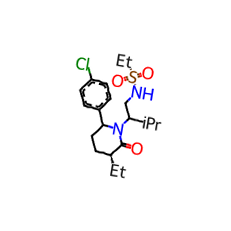 CC[C@H]1CCC(c2ccc(Cl)cc2)N(C(CNS(=O)(=O)CC)C(C)C)C1=O